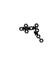 c1ccc(-c2ccc(-n3ccc4c3ccc3c5ccccc5n(-c5ccc(N6c7ccccc7N(c7ccccc7)c7ccccc76)cc5)c34)cc2)cc1